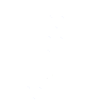 COc1cccc2/c(=N/C(=N)CN3CCc4ccc(-c5cnc(N)nc5C(F)(F)F)cc4C3)[nH]c(N)nc12